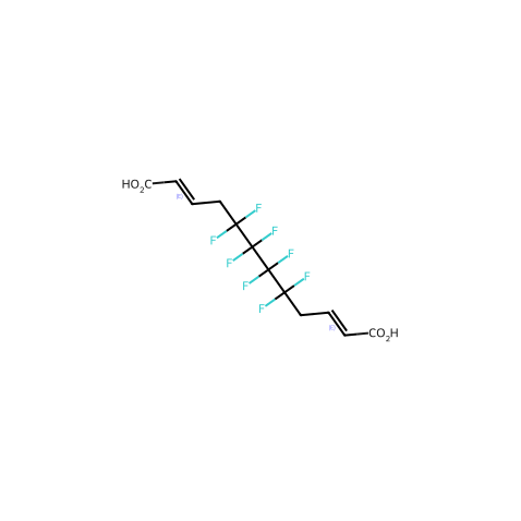 O=C(O)/C=C/CC(F)(F)C(F)(F)C(F)(F)C(F)(F)C/C=C/C(=O)O